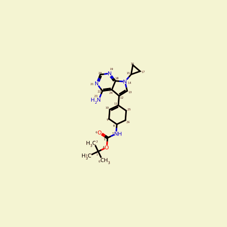 CC(C)(C)OC(=O)NC1CC=C(c2cn(C3CC3)c3ncnc(N)c23)CC1